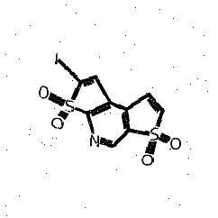 O=S1(=O)C=Cc2c1cnc1c2C=C(I)S1(=O)=O